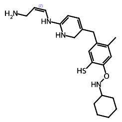 Cc1cc(ONC2CCCCC2)c(S)cc1CC1=CC=C(N/C=C\CN)NC1